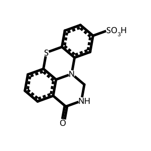 O=C1NCN2c3cc(S(=O)(=O)O)ccc3Sc3cccc1c32